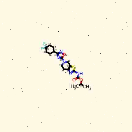 CC(C)OC(=O)Nc1nc2c(s1)CN(c1nc(C3CCC(F)(F)CC3)no1)CC2